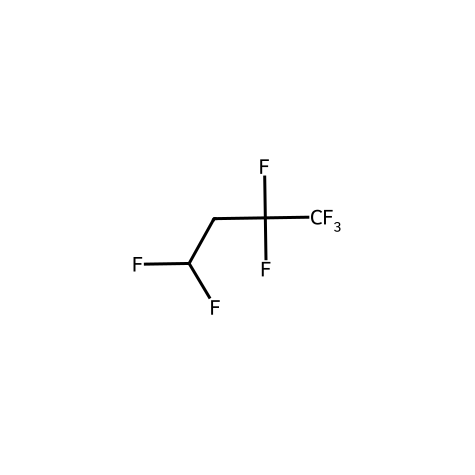 FC(F)CC(F)(F)C(F)(F)F